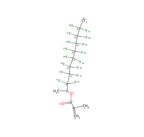 C=C(C)C(=O)OC(C)C(F)(F)C(F)(F)C(F)(F)C(F)(F)C(F)(F)C(F)(F)C(F)(F)C(F)(F)C(F)(F)F